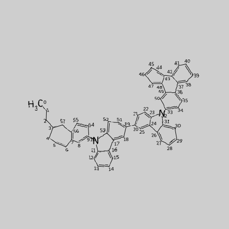 CCCC1CC=Cc2cc(-n3c4ccccc4c4cc(-c5ccc6c(c5)c5ccccc5n6-c5ccc6c7ccccc7c7ccccc7c6c5)ccc43)ccc2C1